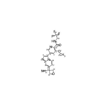 COc1cc(-c2cnc3cc(C4(C#N)COC4)ccn23)cnc1C(=O)NCC(F)(F)F